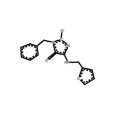 O=c1c(NCc2ccco2)n[s+]([O-])n1Cc1ccccc1